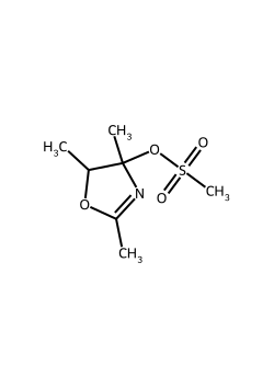 CC1=NC(C)(OS(C)(=O)=O)C(C)O1